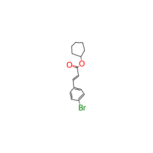 O=C(C=Cc1ccc(Br)cc1)OC1CCCCC1